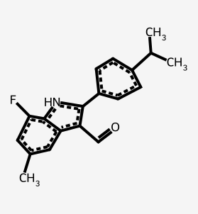 Cc1cc(F)c2[nH]c(-c3ccc(C(C)C)cc3)c(C=O)c2c1